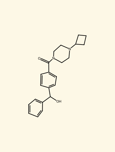 O=C(c1ccc(C(O)c2ccccc2)cc1)N1CCN(C2CCC2)CC1